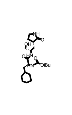 CC(C)COC(=O)N[C@@H](CC1CCCCC1)C(=O)N[C@H](CO)C[C@@H]1CCNC1=O